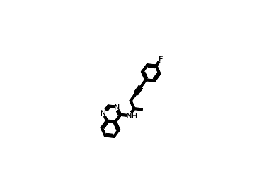 CC(CC#Cc1ccc(F)cc1)Nc1ncnc2ccccc12